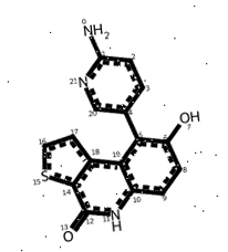 Nc1ccc(-c2c(O)ccc3[nH]c(=O)c4sccc4c23)cn1